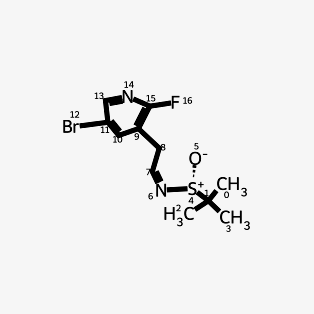 CC(C)(C)[S@@+]([O-])/N=C\Cc1cc(Br)cnc1F